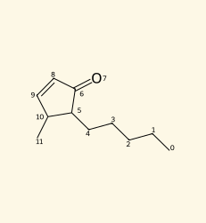 CCCCCC1C(=O)C=CC1C